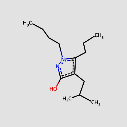 CCCCn1nc(O)c(CC(C)C)c1CCC